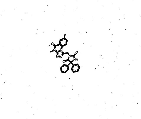 Cc1ccc2c(c1)c(=O)n(C)c1nnc(CN3C(=O)NC(c4ccccc4)(c4ccccc4)C3=O)n21